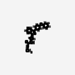 CC#CC(=O)N[C@H]1C[C@H](n2nc(-c3ccc(Oc4ccccc4)cc3)c3cncnc32)C1